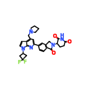 O=C1CCC(N2Cc3cc(-c4cc(CN5CCCC5)c5ccn(C6CC(F)(F)C6)c5n4)ccc3C2=O)C(=O)N1